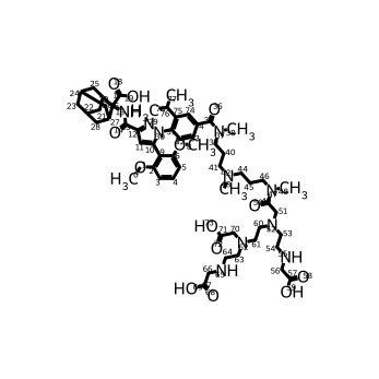 COc1cccc(OC)c1-c1cc(C(=O)NC2(C(=O)O)C3CC4CC(C3)CC2C4)nn1-c1ccc(C(=O)N(C)CCCN(C)CCCN(C)C(=O)CN(CCNCC(=O)O)CCN(CCNCC(=O)O)CC(=O)O)cc1C(C)C